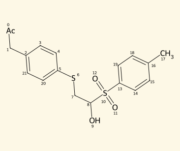 CC(=O)Cc1ccc(SCC(O)S(=O)(=O)c2ccc(C)cc2)cc1